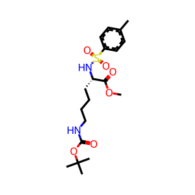 COC(=O)[C@H](CCCCNC(=O)OC(C)(C)C)NS(=O)(=O)c1ccc(C)cc1